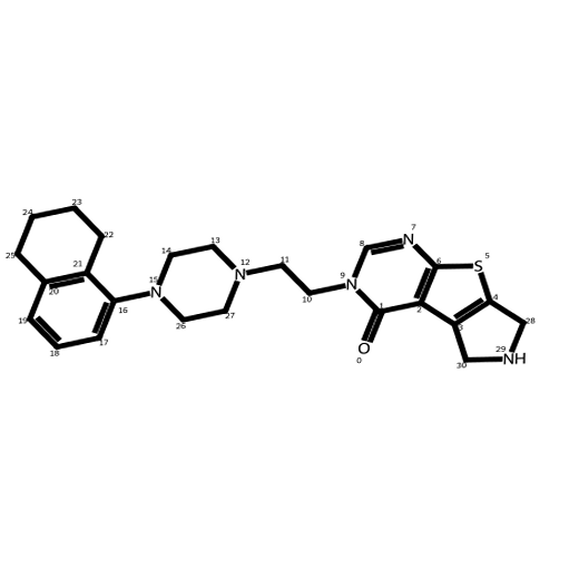 O=c1c2c3c(sc2ncn1CCN1CCN(c2cccc4c2CCCC4)CC1)CNC3